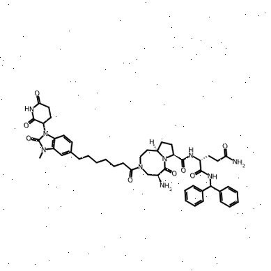 Cn1c(=O)n(C2CCC(=O)NC2=O)c2ccc(CCCCCCC(=O)N3CC[C@H]4CC[C@@H](C(=O)N[C@H](CCC(N)=O)C(=O)NC(c5ccccc5)c5ccccc5)N4C(=O)[C@@H](N)C3)cc21